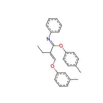 CCC(=C\Oc1cccc(C)c1)/C(=N/c1ccccc1)Oc1ccc(C)cc1